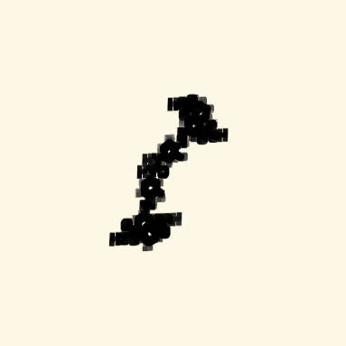 Cc1cc(NC(=O)Nc2ccc(N=Nc3cc(S(=O)(=O)O)c4cccc(S(=O)(=O)O)c4c3)c(C)c2)ccc1N=Nc1cc(S(=O)(=O)O)c2cccc(S(=O)(=O)O)c2c1